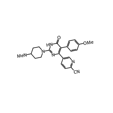 CNC1CCN(c2nc(-c3ccc(C#N)nc3)c(-c3ccc(OC)cc3)c(=O)[nH]2)CC1